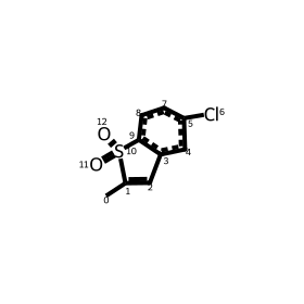 CC1=Cc2cc(Cl)ccc2S1(=O)=O